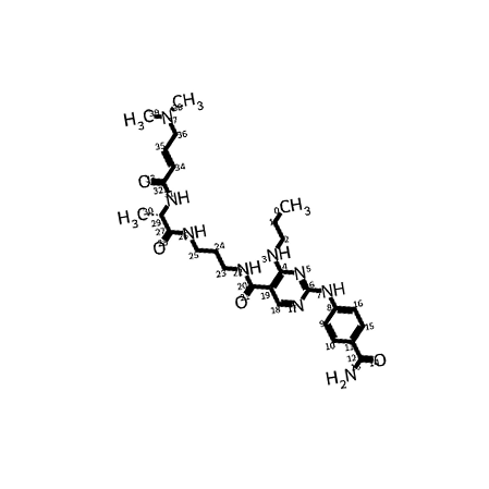 CCCNc1nc(Nc2ccc(C(N)=O)cc2)ncc1C(=O)NCCCNC(=O)[C@H](C)NC(=O)/C=C/CN(C)C